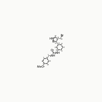 COc1ccc(CNC(=O)Nc2cccc(-c3n[nH]cc3CBr)c2)cc1